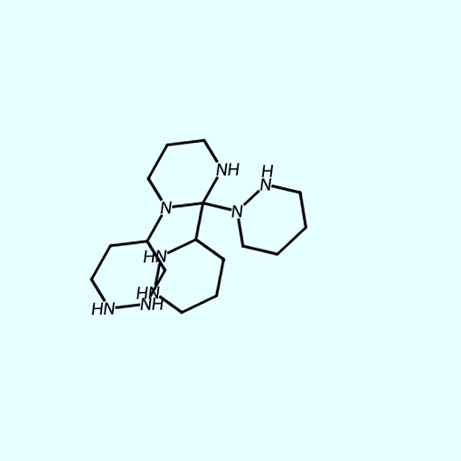 C1CCN(C2(C3CCCNN3)NCCCN2C2CCNNC2)NC1